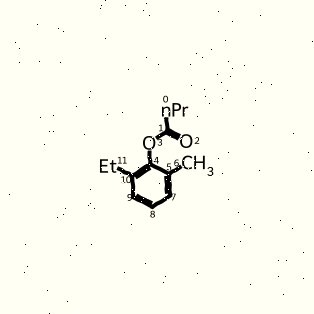 CCCC(=O)Oc1c(C)cccc1CC